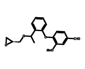 COc1cc(C=O)ccc1Oc1ccccc1C(C)OC[C@H]1CO1